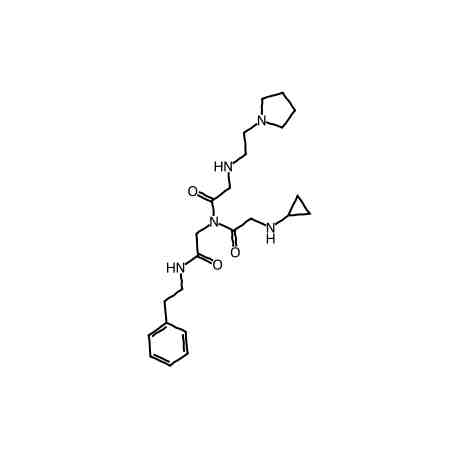 O=C(CN(C(=O)CNCCN1CCCC1)C(=O)CNC1CC1)NCCc1ccccc1